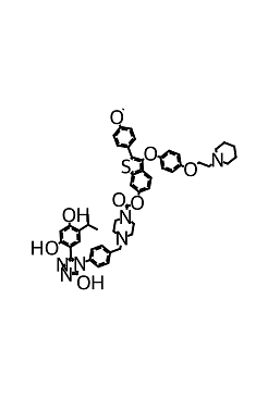 COc1ccc(-c2sc3cc(OC(=O)N4CCN(Cc5ccc(-n6c(O)nnc6-c6cc(C(C)C)c(O)cc6O)cc5)CC4)ccc3c2Oc2ccc(OCCN3CCCCC3)cc2)cc1